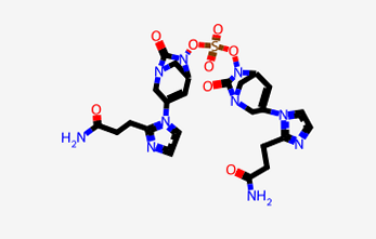 NC(=O)CCc1nccn1C1=CC2CN(C1)C(=O)N2OS(=O)(=O)ON1C(=O)N2CC(n3ccnc3CCC(N)=O)=CC1C2